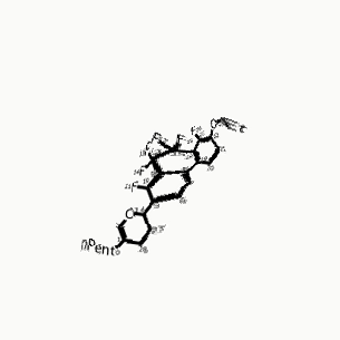 CCCCCC1=COC(c2ccc3c(c2F)C(F)(F)C(F)(F)c2c-3ccc(OCC)c2F)CC1